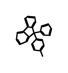 Cc1ccc(C2(c3ccccc3)c3ccccc3-c3ccccc32)cc1